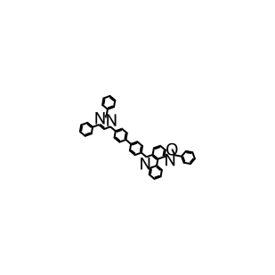 c1ccc(-c2cc(-c3ccc(-c4ccc(-c5nc6ccccc6c6c5ccc5oc(-c7ccccc7)nc56)cc4)cc3)nc(-c3ccccc3)n2)cc1